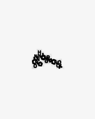 Cc1cc(S(=O)(=O)C2CC3(CCN(C(=O)OC(C)(C)C)CC3)C2)ccc1Nc1ncc2c(n1)N(C1CCCC1)C(=O)CC2